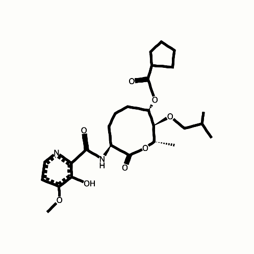 COc1ccnc(C(=O)N[C@H]2CCC[C@H](OC(=O)C3CCCC3)[C@@H](OCC(C)C)[C@H](C)OC2=O)c1O